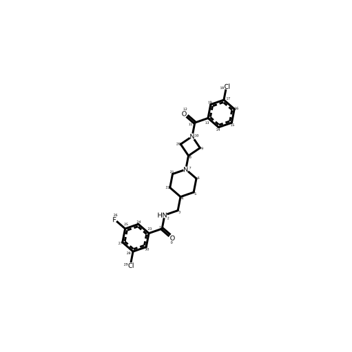 O=C(NCC1CCN(C2CN(C(=O)c3cccc(Cl)c3)C2)CC1)c1cc(F)cc(Cl)c1